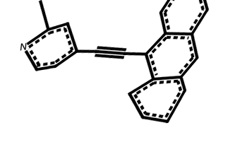 Cc1cc(C#Cc2c3ccccc3cc3ccccc23)ccn1